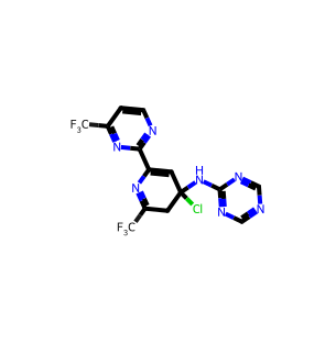 FC(F)(F)C1=NC(c2nccc(C(F)(F)F)n2)=CC(Cl)(Nc2ncncn2)C1